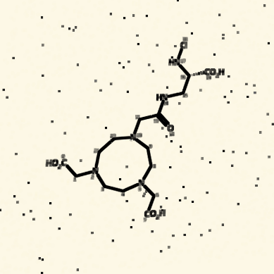 O=C(O)CN1CCN(CC(=O)O)CCN(CC(=O)NC[C@H](NCl)C(=O)O)CC1